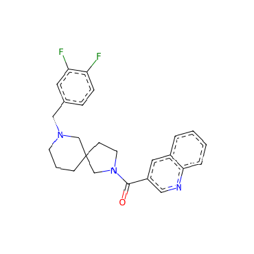 O=C(c1cnc2ccccc2c1)N1CCC2(CCCN(Cc3ccc(F)c(F)c3)C2)C1